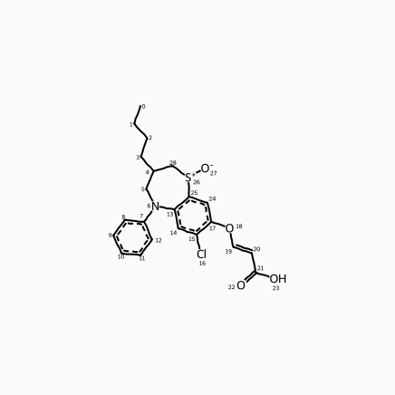 CCCCC1CN(c2ccccc2)c2cc(Cl)c(O/C=C/C(=O)O)cc2[S+]([O-])C1